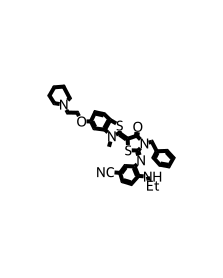 CCNc1ccc(C#N)cc1N=C1SC(=C2Sc3ccc(OCCN4CCCCC4)cc3N2C)C(=O)N1Cc1ccccc1